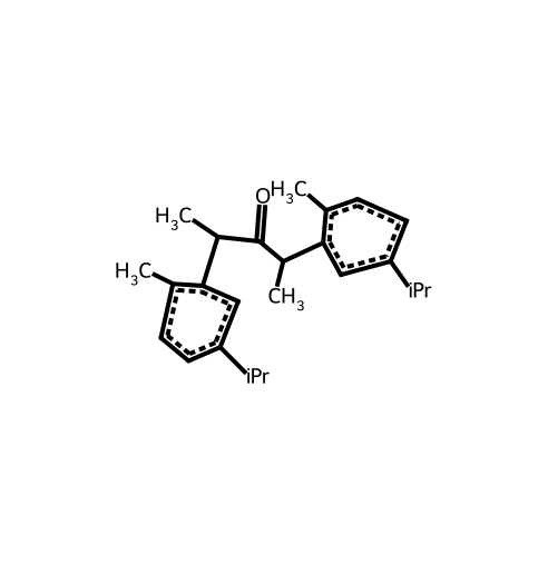 Cc1ccc(C(C)C)cc1C(C)C(=O)C(C)c1cc(C(C)C)ccc1C